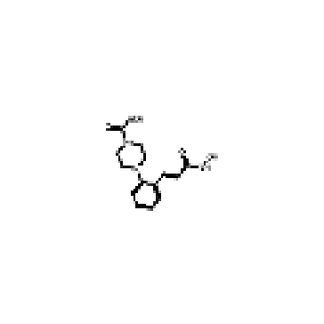 CCCCC(=O)N1CCN(c2ccccc2/C=C/C(=O)NO)CC1